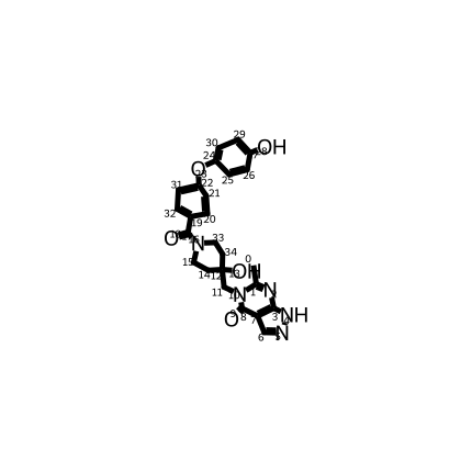 Cc1nc2[nH]ncc2c(=O)n1CC1(O)CCN(C(=O)c2ccc(Oc3ccc(O)cc3)cc2)CC1